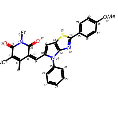 CCN1C(=O)C(C#N)=C(C)/C(=C/c2cc3sc(-c4ccc(OC)cc4)nc3n2-c2ccccc2)C1=O